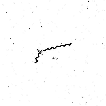 CCCCCCCCCCCCOS(=O)(=O)CCCCC.[CaH2]